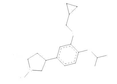 CC(=O)N1CC(c2ccc(OC(F)F)c(OCC3CC3)c2)C[C@H]1C(=O)O